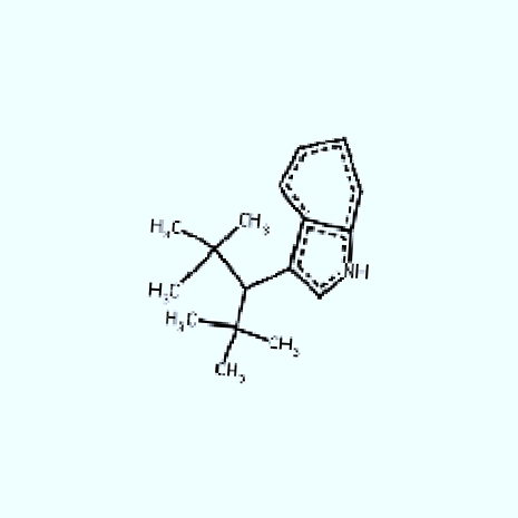 CC(C)(C)C(c1c[nH]c2ccccc12)C(C)(C)C